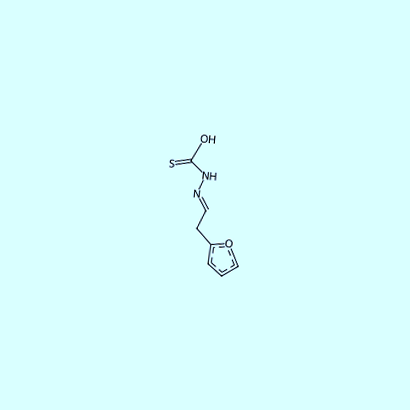 OC(=S)NN=CCc1ccco1